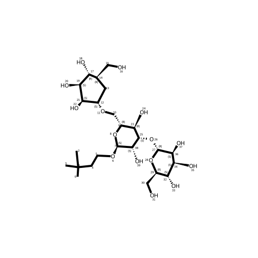 CC(C)(C)CCO[C@H]1O[C@H](CO[C@H]2C[C@H](CO)[C@@H](O)[C@H](O)[C@@H]2O)[C@@H](O)[C@H](O[C@H]2O[C@H](CO)[C@@H](O)[C@H](O)[C@@H]2O)[C@@H]1O